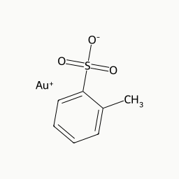 Cc1ccccc1S(=O)(=O)[O-].[Au+]